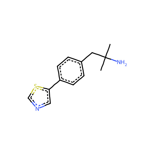 CC(C)(N)Cc1ccc(-c2cncs2)cc1